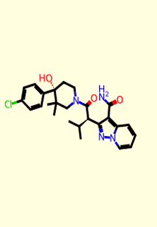 CC(C)[C@@H](C(=O)N1CC[C@](O)(c2ccc(Cl)cc2)C(C)(C)C1)c1nn2ccccc2c1C(N)=O